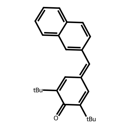 CC(C)(C)C1=CC(=Cc2ccc3ccccc3c2)C=C(C(C)(C)C)C1=O